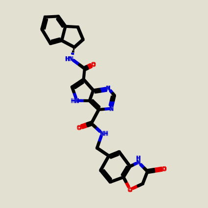 O=C1COc2ccc(CNC(=O)c3ncnc4c(C(=O)N[C@H]5CCc6ccccc65)c[nH]c34)cc2N1